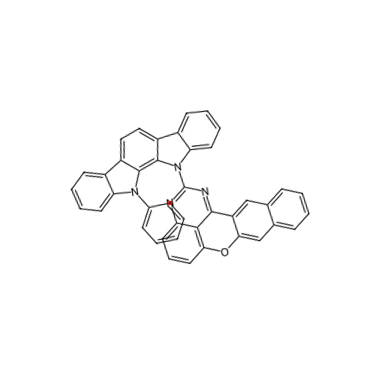 c1ccc(-n2c3ccccc3c3ccc4c5ccccc5n(-c5nc6c7c(cccc7n5)Oc5cc7ccccc7cc5-6)c4c32)cc1